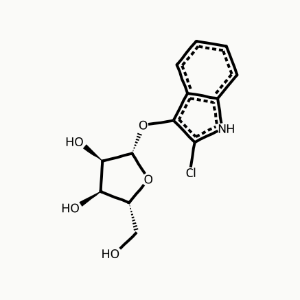 OC[C@H]1O[C@@H](Oc2c(Cl)[nH]c3ccccc23)[C@H](O)[C@@H]1O